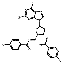 Nc1nc(Cl)nc2c1ncn2[C@H]1C[C@H](OC(=O)c2ccc(Cl)cc2)[C@@H](COC(=O)c2ccc(Cl)cc2)O1